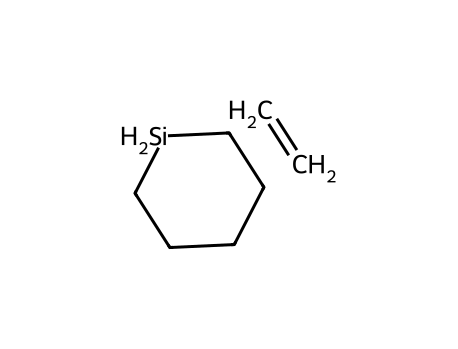 C1CC[SiH2]CC1.C=C